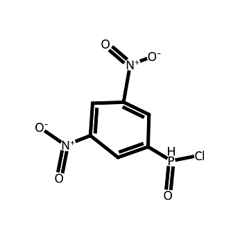 O=[N+]([O-])c1cc([N+](=O)[O-])cc([PH](=O)Cl)c1